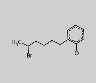 CC(Br)CCCCc1ccccc1[O]